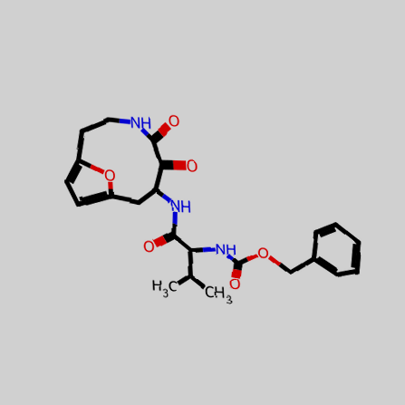 CC(C)C(NC(=O)OCc1ccccc1)C(=O)NC1Cc2ccc(o2)CCNC(=O)C1=O